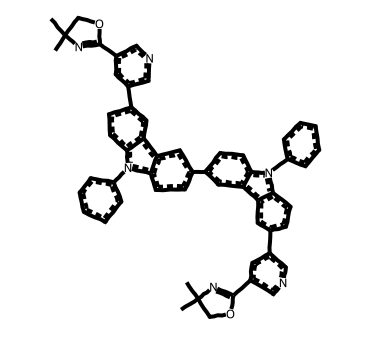 CC1(C)COC(c2cncc(-c3ccc4c(c3)c3cc(-c5ccc6c(c5)c5cc(-c7cncc(C8=NC(C)(C)CO8)c7)ccc5n6-c5ccccc5)ccc3n4-c3ccccc3)c2)=N1